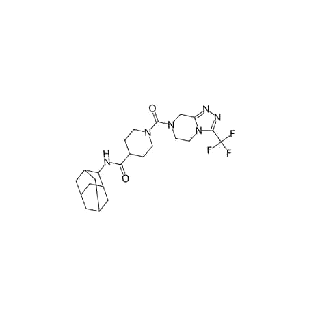 O=C(NC1C2CC3CC(C2)CC1C3)C1CCN(C(=O)N2CCn3c(nnc3C(F)(F)F)C2)CC1